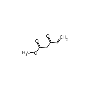 C=CC(=O)CC(=O)OC